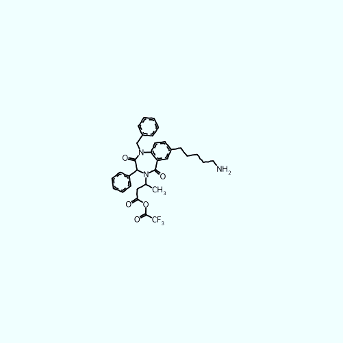 CC(CC(=O)OC(=O)C(F)(F)F)N1C(=O)c2cc(CCCCCN)ccc2N(Cc2ccccc2)C(=O)C1c1ccccc1